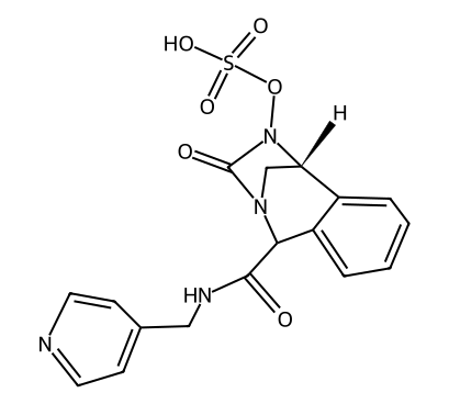 O=C(NCc1ccncc1)C1c2ccccc2[C@@H]2CN1C(=O)N2OS(=O)(=O)O